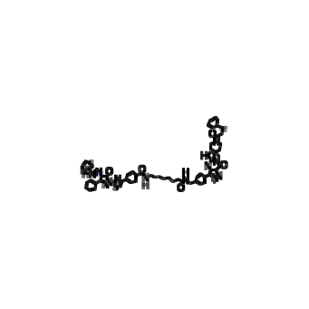 C[C@H](CC(=O)N1CCC(O)(Cn2cnc3c(-c4ccc(CNC(=O)CCCCCCCNC(=O)c5ccc(-c6csc(N7N=C(c8ccccc8)/C(=N\Nc8nccs8)C7=O)n6)cc5)cc4)n(C)nc3c2=O)CC1)c1ccccc1